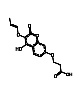 CC=COc1c(O)c2ccc(OCCC(=O)O)cc2oc1=O